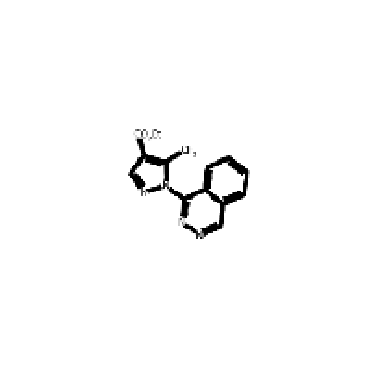 CCOC(=O)c1cnn(-c2nncc3ccccc23)c1C(F)(F)F